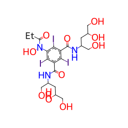 CCC(=O)N(O)c1c(I)c(C(=O)NC(CO)CC(O)CO)c(I)c(C(=O)NC(CO)CC(O)CO)c1I